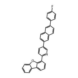 Fc1ccc(-c2ccc3cc(-c4ccc(-c5cccc6c5oc5ccccc56)nc4)ccc3c2)cc1